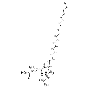 CCCCCCCCCCCCCCCCCCSCC(NC(=O)CCC(N)C(=O)O)C(=O)NCC(=O)O